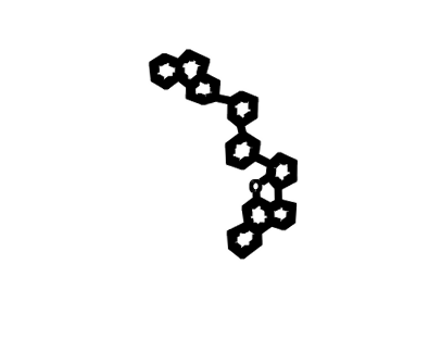 c1cc(-c2cccc(-c3cccc4c3Oc3cc5ccccc5c5cccc-4c35)c2)cc(-c2ccc3c(ccc4ccccc43)c2)c1